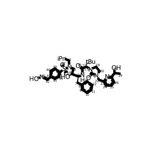 CC(C)CN(C[C@H](O)[C@H](Cc1ccccc1)NC(=O)[C@@H](N1CCN(Cc2cccc(C(C)O)n2)C1=O)C(C)(C)C)S(=O)(=O)c1ccc(C=NO)cc1